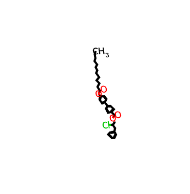 CCCCCCCCCCCCC(=O)Oc1ccc(-c2ccc(C(=O)OCC(Cl)Cc3ccccc3)cc2)cc1